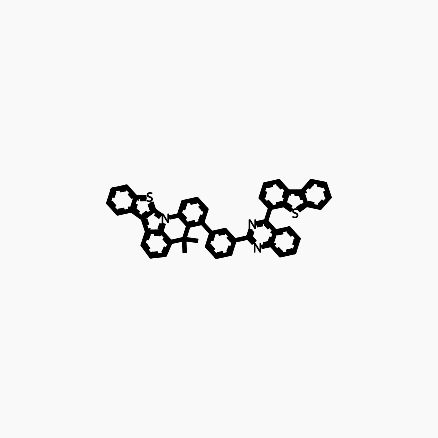 CC1(C)c2c(-c3cccc(-c4nc(-c5cccc6c5sc5ccccc56)c5ccccc5n4)c3)cccc2-n2c3sc4ccccc4c3c3cccc1c32